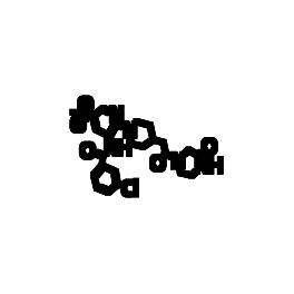 CS(=O)(=O)c1cnc(N2CCC(CC(=O)N3CCNC(=O)C3)CC2)c(NC(=O)c2cccc(Cl)c2)c1